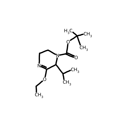 CCOC1=NCCN(C(=O)OC(C)(C)C)C1C(C)C